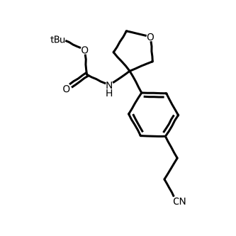 CC(C)(C)OC(=O)NC1(c2ccc(CCC#N)cc2)CCOC1